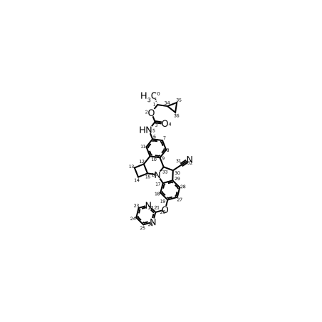 C[C@@H](OC(=O)Nc1ccc2c(c1)C1CCC1N1c3cc(Oc4ncccn4)ccc3C(C#N)C21)C1CC1